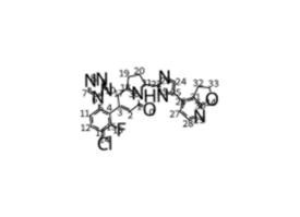 O=C1C=C(c2c(-n3cnnn3)ccc(Cl)c2F)CC2CCC(c3ncc(-c4ccnc5c4CCO5)[nH]3)N12